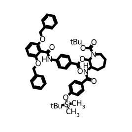 CC(C)(C)OC(=O)N1CCCCC(NC(=O)c2ccc(O[Si](C)(C)C(C)(C)C)cc2)C1OC(=O)c1ccc(NC(=O)c2c(OCc3ccccc3)cccc2OCc2ccccc2)cc1